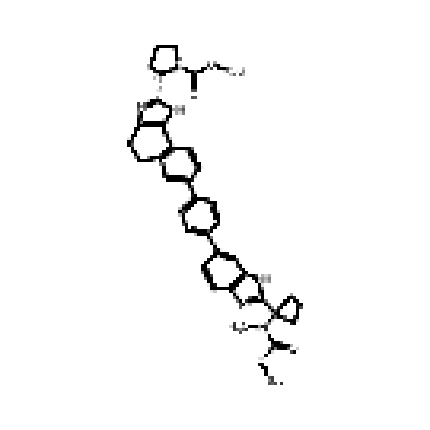 CN(C(=O)OC(C)(C)C)C1(c2nc3ccc(-c4ccc(-c5ccc6c(c5)CCc5nc([C@@H]7CCCN7C(=O)OC(C)(C)C)[nH]c5-6)cc4)cc3[nH]2)CCC1